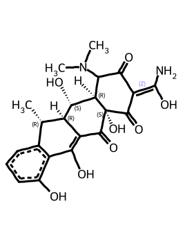 C[C@H]1c2cccc(O)c2C(O)=C2C(=O)[C@]3(O)C(=O)/C(=C(/N)O)C(=O)C(N(C)C)[C@@H]3[C@@H](O)[C@@H]21